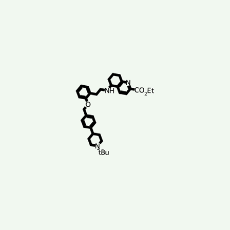 CCOC(=O)c1ccc2c(n1)CCCC2NCCc1ccccc1OCc1ccc(C2CCN(C(C)(C)C)CC2)cc1